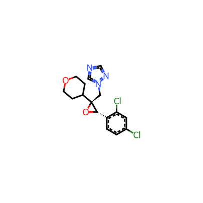 Clc1ccc([C@@H]2O[C@]2(Cn2cncn2)C2CCOCC2)c(Cl)c1